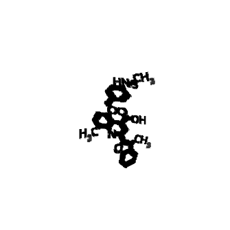 CSNc1ccc(COc2ccc(C)c3nc(-c4oc5ccccc5c4C)cc(C(=O)O)c23)cc1